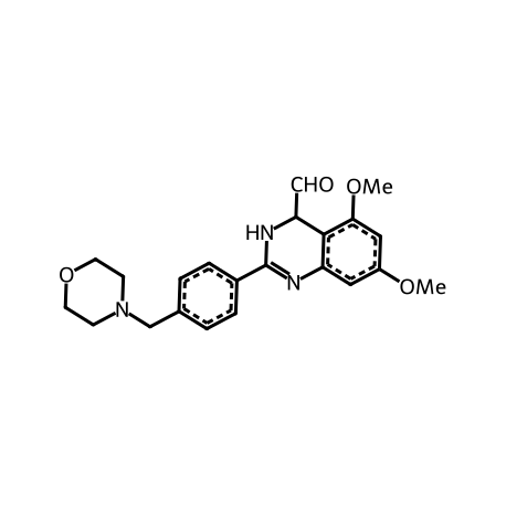 COc1cc2c(c(OC)c1)C(C=O)NC(c1ccc(CN3CCOCC3)cc1)=N2